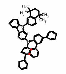 CC1(C)CCC(C)(C)c2cc(-n3c4ccccc4c4ccc(N(c5ccc(-c6ccccc6)cc5)c5ccc(-c6ccccc6)cc5-c5ccccc5)cc43)ccc21